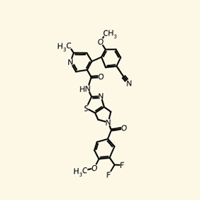 COc1ccc(C#N)cc1-c1cc(C)ncc1C(=O)Nc1nc2c(s1)CN(C(=O)c1ccc(OC)c(C(F)F)c1)C2